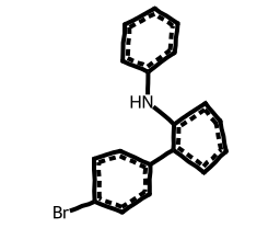 Brc1ccc(-c2ccccc2Nc2ccccc2)cc1